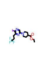 CCOC(=O)C1CCN(c2cnc(I)c(CCC(F)(F)F)n2)CC1